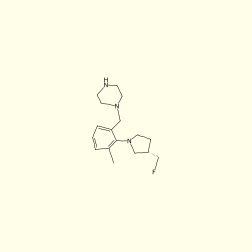 Cc1cccc(CN2CCNCC2)c1N1CC[C@H](CF)C1